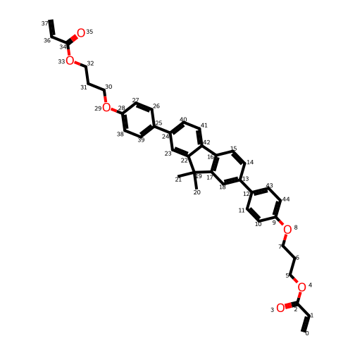 C=CC(=O)OCCCOc1ccc(-c2ccc3c(c2)C(C)(C)c2cc(-c4ccc(OCCCOC(=O)C=C)cc4)ccc2-3)cc1